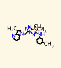 Cc1cccc(NC2=Nn3c(Cn4cc(C)c5ncccc54)nnc3S2(C)C)c1